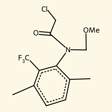 COCN(C(=O)CCl)c1c(C)ccc(C)c1C(F)(F)F